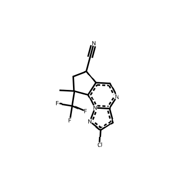 CC1(C(F)(F)F)CC(C#N)c2cnc3cc(Cl)nn3c21